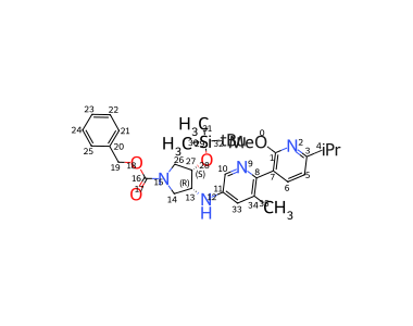 COc1nc(C(C)C)ccc1-c1ncc(N[C@@H]2CN(C(=O)OCc3ccccc3)C[C@@H]2O[Si](C)(C)C(C)(C)C)cc1C